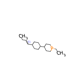 CC/C=C/C1CCC(C2CCP(CC)CC2)CC1